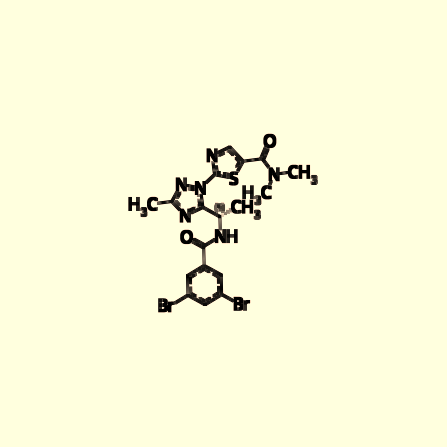 Cc1nc([C@H](C)NC(=O)c2cc(Br)cc(Br)c2)n(-c2ncc(C(=O)N(C)C)s2)n1